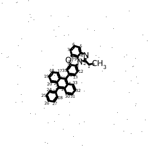 CCc1nc2cccc3c2n1-c1ccc(-c2c4ccccc4c(-c4ccccc4)c4ccccc24)cc1O3